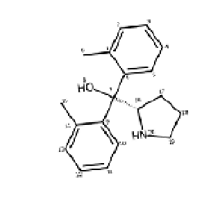 Cc1ccccc1C(O)(c1ccccc1C)[C@@H]1CCCN1